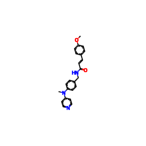 COc1ccc(C=CC(=O)NCc2ccc(N(C)c3ccncc3)cc2)cc1